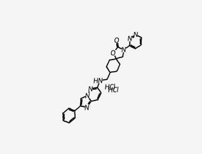 Cl.Cl.O=C1OC2(CCC(CNc3ccc4nc(-c5ccccc5)cn4n3)CC2)CN1c1cccnn1